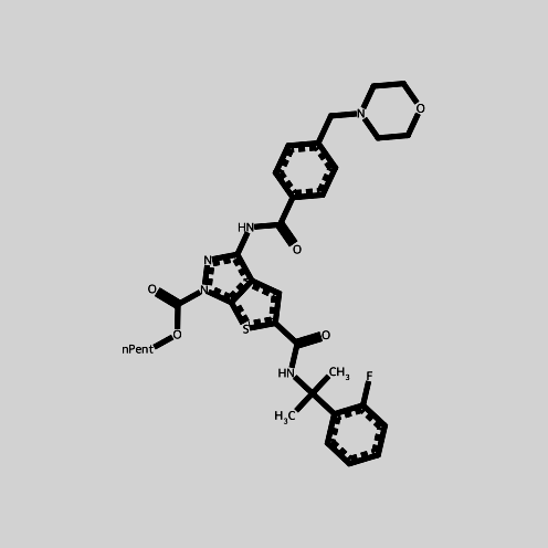 CCCCCOC(=O)n1nc(NC(=O)c2ccc(CN3CCOCC3)cc2)c2cc(C(=O)NC(C)(C)c3ccccc3F)sc21